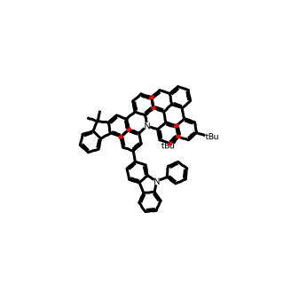 CC(C)(C)c1cc(-c2cccc3cccc(-c4ccccc4N(c4cccc(-c5ccc6c7ccccc7n(-c7ccccc7)c6c5)c4)c4ccccc4-c4ccc5c(c4)C(C)(C)c4ccccc4-5)c23)cc(C(C)(C)C)c1